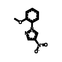 COc1ccccc1-n1cc([N+](=O)[O-])cn1